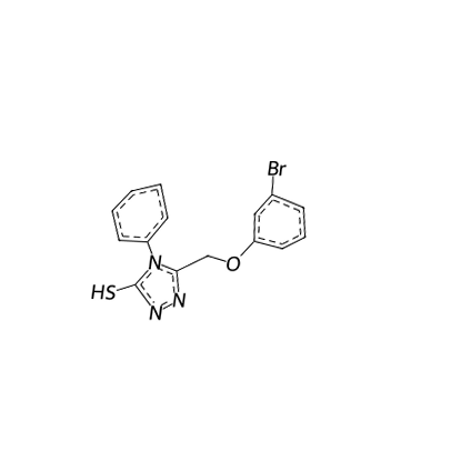 Sc1nnc(COc2cccc(Br)c2)n1-c1ccccc1